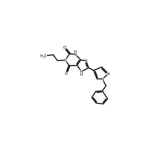 CCCn1c(=O)[nH]c2nc(-c3cnn(Cc4ccccc4)c3)[nH]c2c1=O